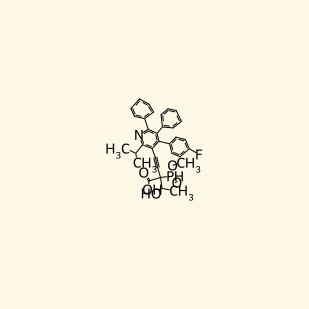 CO[PH](=O)C(C#Cc1c(C(C)C)nc(-c2ccccc2)c(-c2ccccc2)c1-c1ccc(F)cc1)(C(=O)O)C(C)O